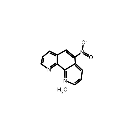 O.O=[N+]([O-])c1cc2cccnc2c2ncccc12